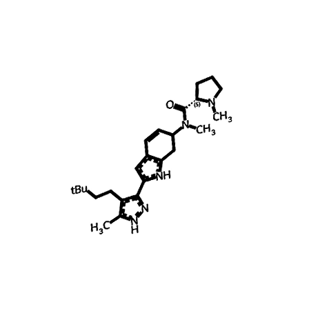 Cc1[nH]nc(-c2cc3c([nH]2)CC(N(C)C(=O)[C@@H]2CCCN2C)C=C3)c1CCC(C)(C)C